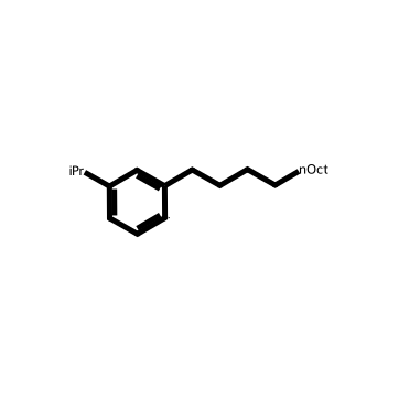 CCCCCCCCCCCCc1[c]ccc(C(C)C)c1